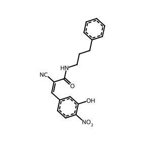 N#CC(=Cc1ccc([N+](=O)[O-])c(O)c1)C(=O)NCCCc1ccccc1